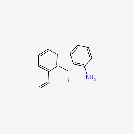 C=Cc1ccccc1CC.Nc1ccccc1